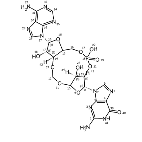 Nc1nc2c(ncn2[C@@H]2OC3OCC[C@@H]4C(COP(=O)(O)O[C@@H]2[C@@H]3O)O[C@@H](n2cnc3c(N)ncnc32)[C@H]4O)c(=O)[nH]1